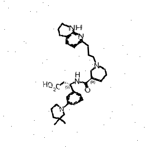 CC1(C)CCCN(c2cccc([C@H](CC(=O)O)NC(=O)[C@@H]3CCCN(CCCc4ccc5c(n4)NCCC5)C3)c2)C1